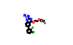 COCCOc1nc(N)nc2ccc(-c3cccc(F)c3F)cc12